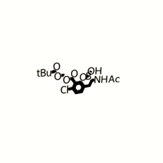 CC(=O)NC1Cc2ccc(Cl)c(C(=O)OCOC(=O)C(C)(C)C)c2OB1O